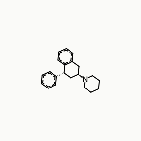 c1ccc([C@H]2C[C@H](N3CCCCC3)Cc3ccccc32)cc1